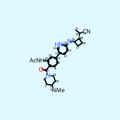 CNC1CCN(C(=O)c2ccc(-c3ccc(=NC4CC[C@@H]4C(C)C#N)[nH]c3)cc2NC(C)=O)CC1